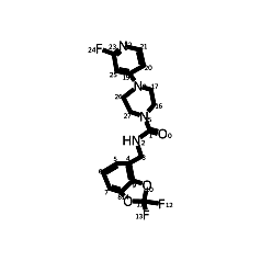 O=C(NCc1cccc2c1OC(F)(F)O2)N1CCN(c2ccnc(F)c2)CC1